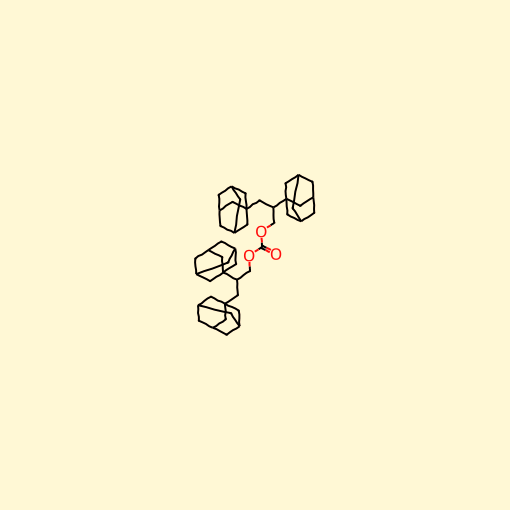 O=C(OCC(CC12CC3CC(CC(C3)C1)C2)C12CC3CC(CC(C3)C1)C2)OCC(CC12CC3CC(CC(C3)C1)C2)C12CC3CC(CC(C3)C1)C2